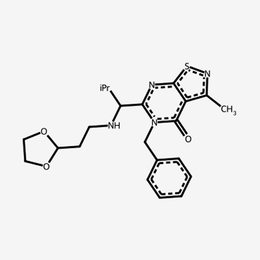 Cc1nsc2nc(C(NCCC3OCCO3)C(C)C)n(Cc3ccccc3)c(=O)c12